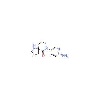 Nc1ccc(N2CCCC3(CCCN3)C2=O)cn1